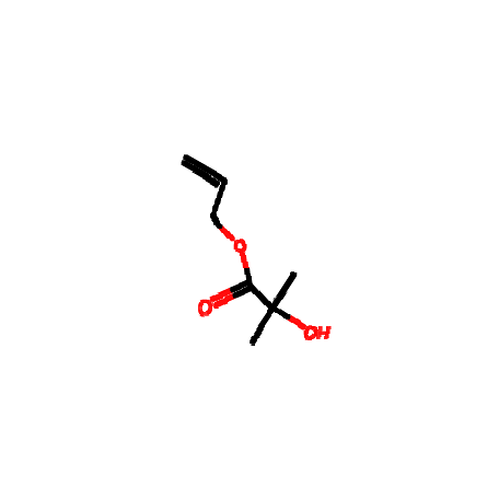 C=CCOC(=O)C(C)(C)O